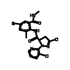 CNC(=O)c1cc(Br)cc(C)c1NC(=O)C1CC(Cl)=NN1c1ncccc1Cl